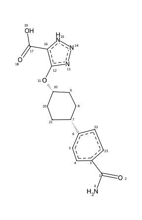 NC(=O)c1ccc([C@H]2CC[C@@H](Oc3nn[nH]c3C(=O)O)CC2)cc1